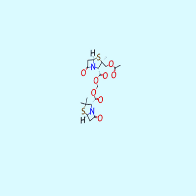 CC(=O)OC[C@]1(C)S[C@@H]2CC(=O)N2[C@H]1C(=O)OCOC(=O)[C@@H]1N2C(=O)C[C@H]2SC1(C)C